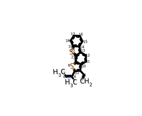 C=Cc1c(/C(C)=C\C)sc2c1ccc1c3ccccc3sc12